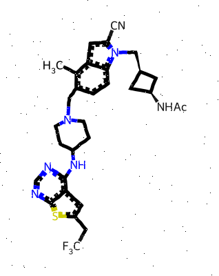 CC(=O)N[C@H]1C[C@@H](Cn2c(C#N)cc3c(C)c(CN4CCC(Nc5ncnc6sc(CC(F)(F)F)cc56)CC4)ccc32)C1